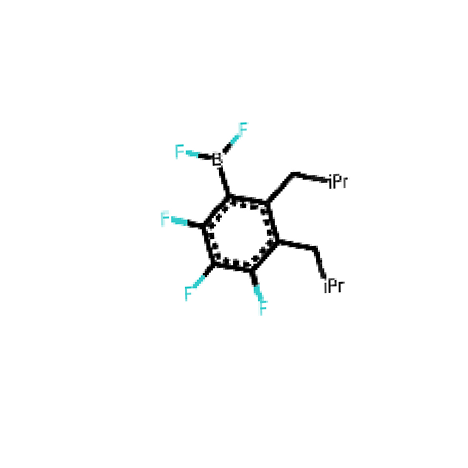 CC(C)Cc1c(F)c(F)c(F)c(B(F)F)c1CC(C)C